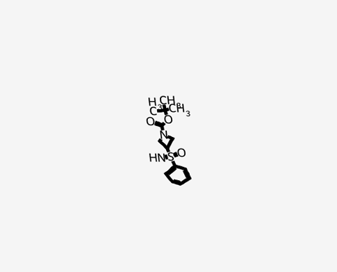 CC(C)(C)OC(=O)N1CC(S(=N)(=O)c2ccccc2)C1